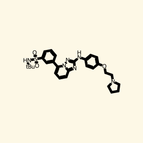 CC(C)(C)NS(=O)(=O)c1cccc(-c2cccc3nc(Nc4ccc(OCCN5CCCC5)cc4)nn23)c1